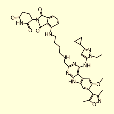 CCn1nc(C2CC2)cc1Nc1nc(CNCCCCNc2cccc3c2C(=O)N(C2CCC(=O)NC2=O)C3=O)nc2[nH]c3cc(-c4c(C)noc4C)c(OC)cc3c12